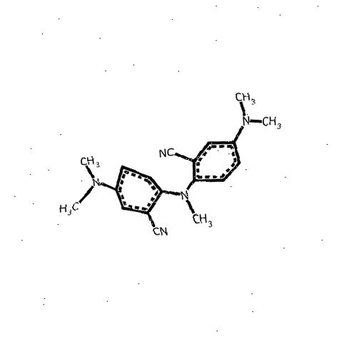 CN(C)c1ccc(N(C)c2ccc(N(C)C)cc2C#N)c(C#N)c1